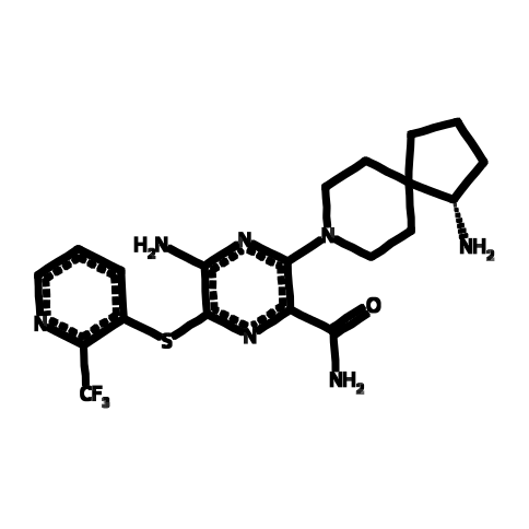 NC(=O)c1nc(Sc2cccnc2C(F)(F)F)c(N)nc1N1CCC2(CCC[C@@H]2N)CC1